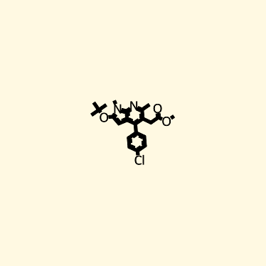 COC(=O)Cc1c(C)nc2c(cc(OC(C)(C)C)n2C)c1-c1ccc(Cl)cc1